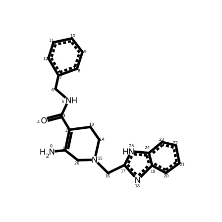 NC1=C(C(=O)NCc2ccccc2)CCN(Cc2nc3ccccc3[nH]2)C1